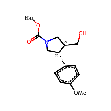 COc1ccc([C@@H]2CN(C(=O)OC(C)(C)C)C[C@H]2CO)cc1